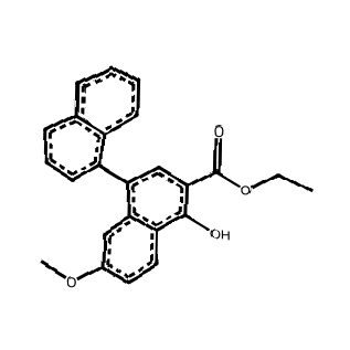 CCOC(=O)c1cc(-c2cccc3ccccc23)c2cc(OC)ccc2c1O